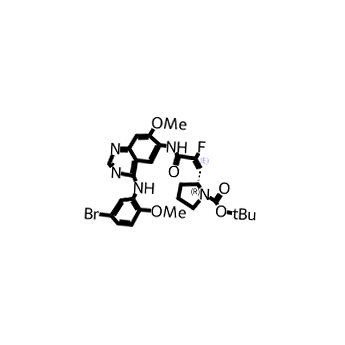 COc1cc2ncnc(Nc3cc(Br)ccc3OC)c2cc1NC(=O)/C(F)=C\[C@H]1CCCN1C(=O)OC(C)(C)C